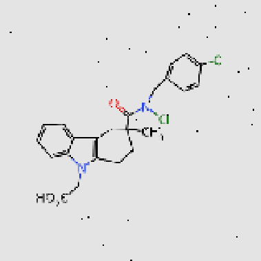 CC1(C(=O)N(Cl)Cc2ccc(Cl)cc2)CCc2c(c3ccccc3n2CC(=O)O)C1